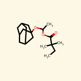 CCC(C)(C)C(=O)OC(C)OC12CC3CC(CC(C3)C1)C2